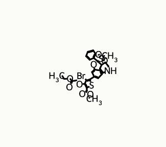 CCOC(=O)COc1c(C(=O)OC)sc(-c2cccc(OC(c3ccccc3)(C3CCNCC3)S(C)(=O)=O)c2)c1Br